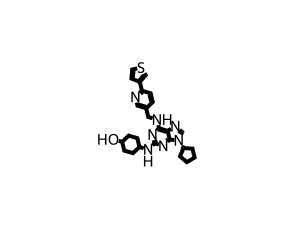 OC1CCC(Nc2nc(NCc3ccc(-c4ccsc4)nc3)c3ncn(C4CCCC4)c3n2)CC1